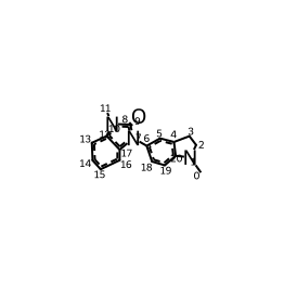 CN1CCc2cc(-n3c(=O)n(C)c4ccccc43)ccc21